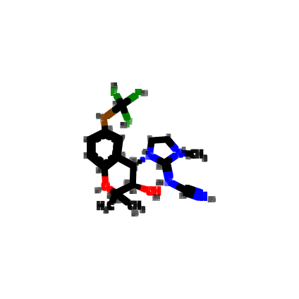 CN1CCN([C@H]2c3cc(SC(F)(F)F)ccc3OC(C)(C)[C@@H]2O)C1=NC#N